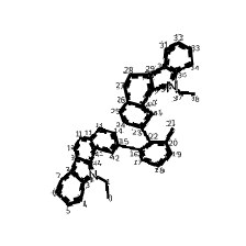 CCn1c2ccccc2c2ccc3ccc(-c4cccc(C)c4-c4ccc5ccc6c7ccccc7n(CC)c6c5c4)cc3c21